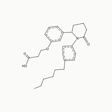 CCCCCCc1ccc(N2C(=O)CCCC2c2cccc(OCCC(=O)O)c2)cc1